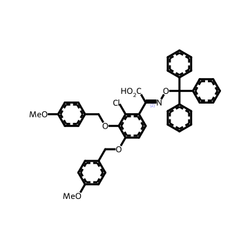 COc1ccc(COc2ccc(/C(=N/OC(c3ccccc3)(c3ccccc3)c3ccccc3)C(=O)O)c(Cl)c2OCc2ccc(OC)cc2)cc1